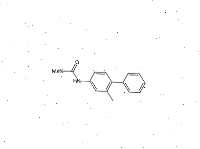 CNC(=O)Nc1ccc(-c2ccccc2)c(C)c1